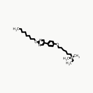 CCCCCCCCOc1ncc(-c2ccc(OCCCCCC[Si](C)(C)CC)cc2)cn1